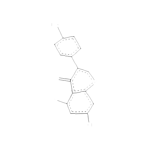 O=c1c(-c2ccc(O)cc2)coc2cc(O)cc(Br)c12